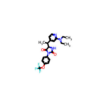 CCN(CC)c1cc(C(C)C2NC(=O)N(c3ccc(OC(F)(F)F)cc3)C2=O)ccn1